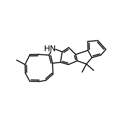 Cc1cccccc2c(cc1)[nH]c1cc3c(cc12)C(C)(C)c1ccccc1-3